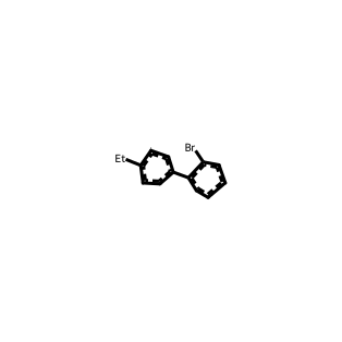 CCc1[c]cc(-c2ccccc2Br)cc1